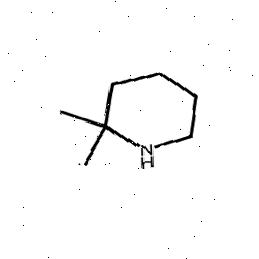 [CH2]C1(C)CCCCN1